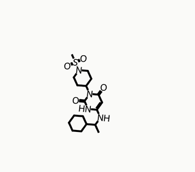 CC(Nc1cc(=O)n(C2CCN(S(C)(=O)=O)CC2)c(=O)[nH]1)C1CCCCC1